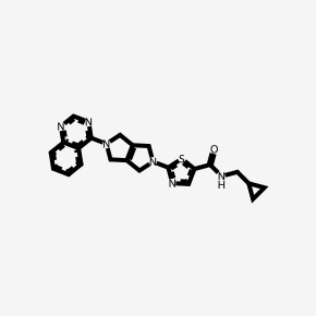 O=C(NCC1CC1)c1cnc(N2CC3=C(C2)CN(c2ncnc4ccccc24)C3)s1